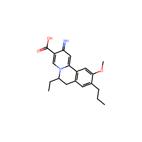 CCCc1cc2c(cc1OC)-c1cc(=N)c(C(=O)O)cn1C(CC)C2